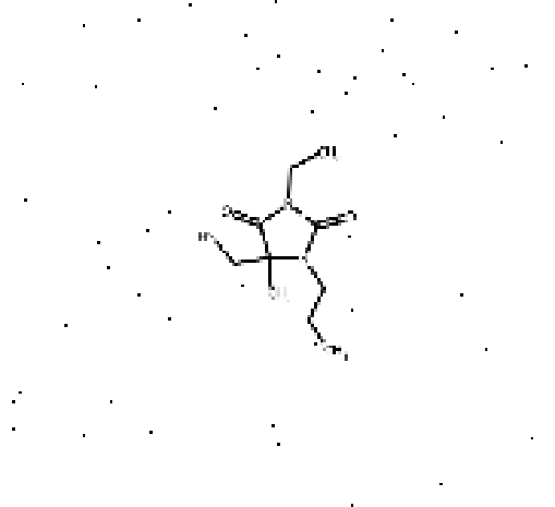 CCCN1C(=O)N(CC)C(=O)C1(C)CS